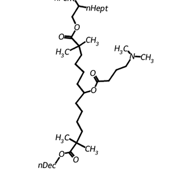 CCCCCCCCCCOC(=O)C(C)(C)CCCCC(CCCCC(C)(C)C(=O)OCC(CCCCC)CCCCCCC)OC(=O)CCCN(C)C